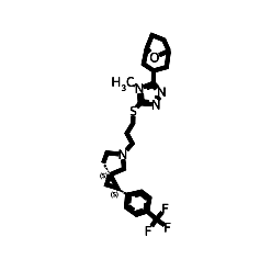 Cn1c(SCCCN2CC[C@]3(C[C@H]3c3ccc(C(F)(F)F)cc3)C2)nnc1C1CC2CCC(C1)O2